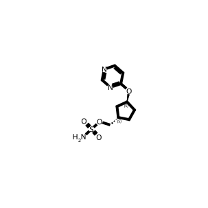 NS(=O)(=O)OC[C@H]1CC[C@H](Oc2ccncn2)C1